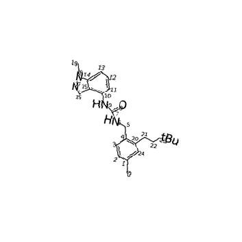 Cc1ccc(CNC(=O)Nc2cccc3c2cnn3C)c(CCC(C)(C)C)c1